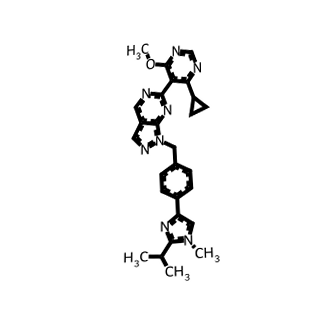 COc1ncnc(C2CC2)c1-c1ncc2cnn(Cc3ccc(-c4cn(C)c(C(C)C)n4)cc3)c2n1